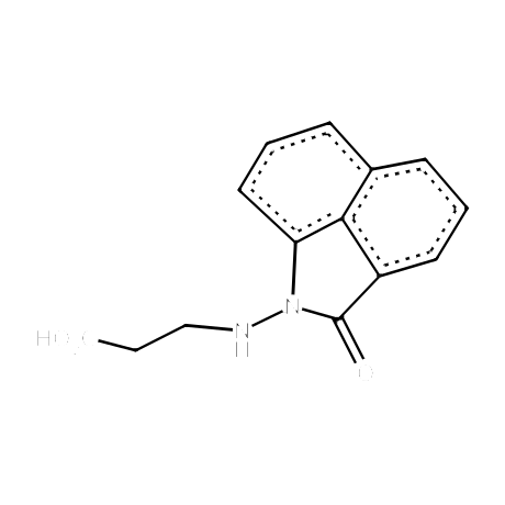 O=C(O)CCNN1C(=O)c2cccc3cccc1c23